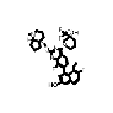 CCc1c(F)ccc2cc(O)cc(-c3ccc4c(N5CCCC(O)(C(F)(F)F)C5)nc(OC[C@]56CCC[C@H]5N(C)CCC6)nc4c3F)c12